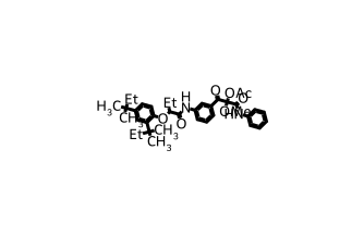 CCC(Oc1ccc(C(C)(C)CC)cc1C(C)(C)CC)C(=O)Nc1cccc(C(=O)C(OC)(OC(C)=O)C(=O)Nc2ccccc2)c1